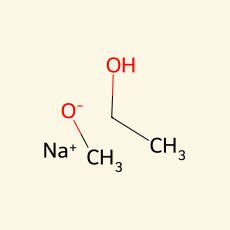 CCO.C[O-].[Na+]